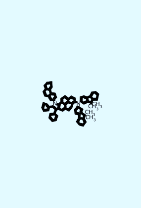 CC1(C)c2ccccc2-c2ccc(N(c3ccc4c(c3)C(C)(C)c3ccccc3-4)c3ccc4ccc5c6c(ccc3c46)cc3c(-c4ccccc4)c(-c4ccccc4)n(-c4ccc6c(ccc7ccccc76)c4)c35)cc21